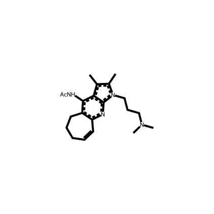 CC(=O)Nc1c2c(nc3c1c(C)c(C)n3CCCN(C)C)C=CCCC2